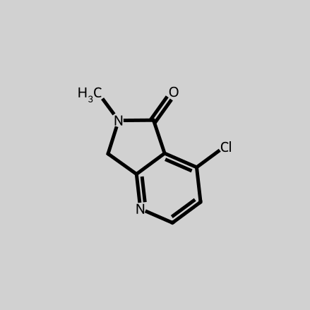 CN1Cc2nccc(Cl)c2C1=O